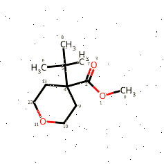 COC(=O)C1(C(C)(C)C)CCOCC1